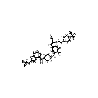 CS(=O)(=O)N1CCN(CCn2c(C#N)cc3cc(CN4CCC(Nc5ncnc6sc(CC(F)(F)F)cc56)CC4)c(O)cc32)CC1